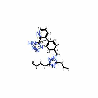 CCCCc1nc(CCC)n(Cc2ccc(-c3cccnc3-c3nnn[nH]3)cc2)n1